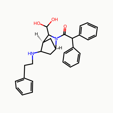 O=C(C(c1ccccc1)c1ccccc1)N1C(C(O)O)[C@H]2C[C@@H]1CC2NCCc1ccccc1